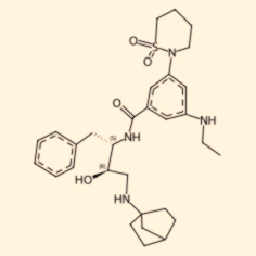 CCNc1cc(C(=O)N[C@@H](Cc2ccccc2)[C@H](O)CNC23CCC(CC2)C3)cc(N2CCCCS2(=O)=O)c1